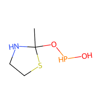 CC1(OPO)NCCS1